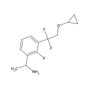 CC(N)c1cccc(C(F)(F)COC2CC2)c1F